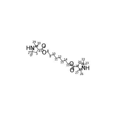 CC1(C)CC(C(=O)OCCCCCCCCOC(=O)C2CC(C)(C)NC2(C)C)C(C)(C)N1